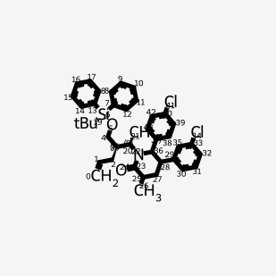 C=CC[C@@H](CO[Si](c1ccccc1)(c1ccccc1)C(C)(C)C)[C@@H](C)N1C(=O)C(C)CC(c2cccc(Cl)c2)C1c1ccc(Cl)cc1